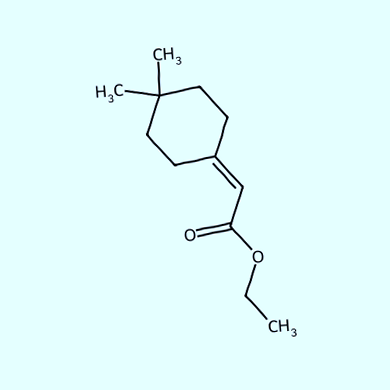 CCOC(=O)C=C1CCC(C)(C)CC1